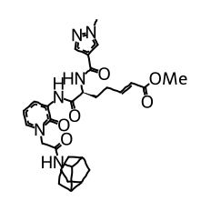 COC(=O)/C=C/CC[C@H](NC(=O)c1cnn(C)c1)C(=O)Nc1cccn(CC(=O)NC2C3CC4CC(C3)C2C4)c1=O